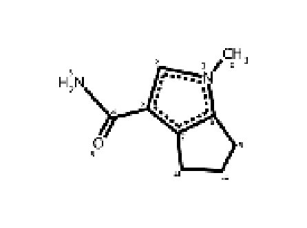 Cn1cc(C(N)=O)c2c1CCC2